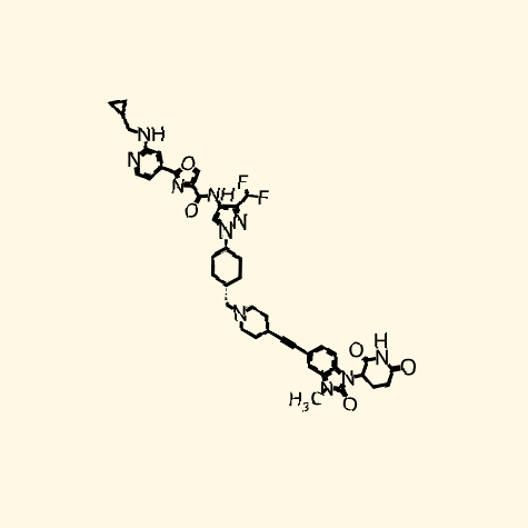 Cn1c(=O)n(C2CCC(=O)NC2=O)c2ccc(C#CC3CCN(C[C@H]4CC[C@H](n5cc(NC(=O)c6coc(-c7ccnc(NCC8CC8)c7)n6)c(C(F)F)n5)CC4)CC3)cc21